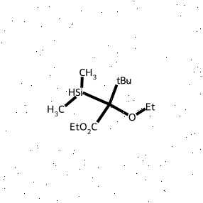 CCOC(=O)C(OCC)([SiH](C)C)C(C)(C)C